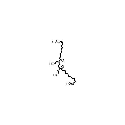 CCCCCCCC/C=C\CCCCCCCC(=O)N(CCO)CCN(CCO)C(=O)CCCCCCC/C=C\CCCCCCCC